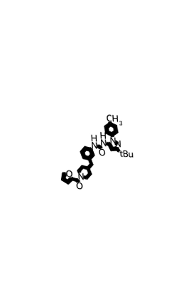 Cc1ccc(-n2nc(C(C)(C)C)cc2NC(=O)Nc2cccc(CC3CCN(C(=O)c4ccco4)CC3)c2)cc1